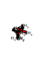 COc1ccc(CN(Cc2ccc(OC)cc2)c2cc(C)c(C(F)(F)F)c([C@H]3Cc4nc(OC[C@@H]5CCCN5C)nc(N5CCN(C(=O)OC(C)(C)C)C[C@@H]5C)c4C[C@H]3C)c2F)cc1